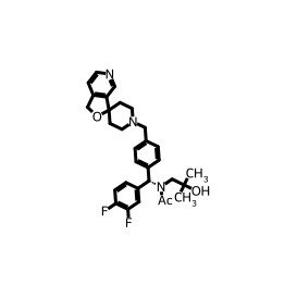 CC(=O)N(CC(C)(C)O)[C@@H](c1ccc(CN2CCC3(CC2)OCc2ccncc23)cc1)c1ccc(F)c(F)c1